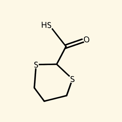 O=C(S)C1SCCCS1